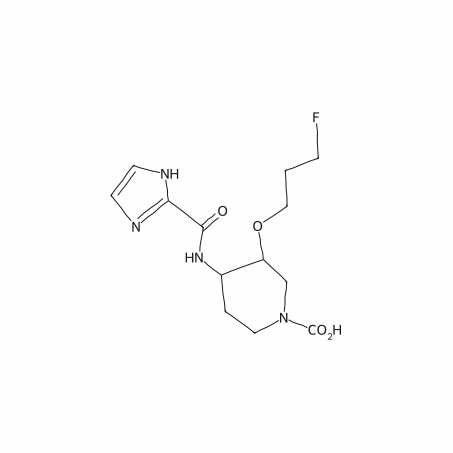 O=C(NC1CCN(C(=O)O)CC1OCCCF)c1ncc[nH]1